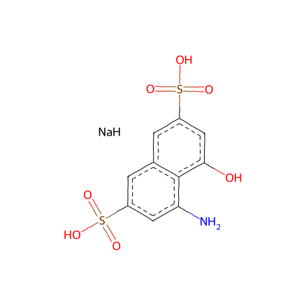 Nc1cc(S(=O)(=O)O)cc2cc(S(=O)(=O)O)cc(O)c12.[NaH]